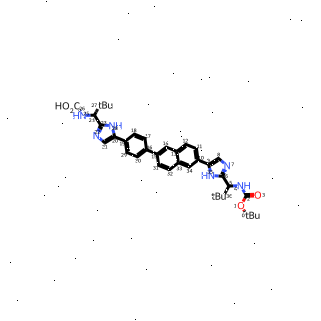 CC(C)(C)OC(=O)NC(c1ncc(-c2ccc3cc(-c4ccc(-c5cnc(C(NC(=O)O)C(C)(C)C)[nH]5)cc4)ccc3c2)[nH]1)C(C)(C)C